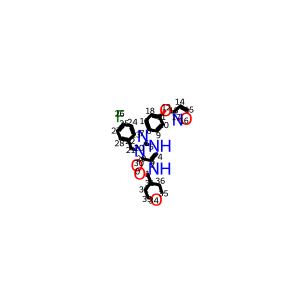 O=C(Nc1c[nH]/c(=N\c2ccc(Oc3ccon3)cc2)n(Cc2ccc(F)cc2)c1=O)C1CCOCC1